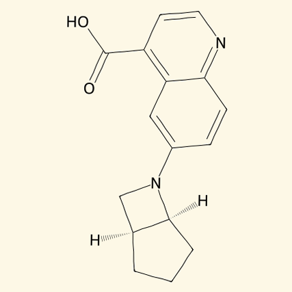 O=C(O)c1ccnc2ccc(N3C[C@@H]4CCC[C@@H]43)cc12